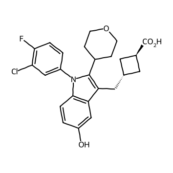 O=C(O)[C@H]1C[C@H](Cc2c(C3CCOCC3)n(-c3ccc(F)c(Cl)c3)c3ccc(O)cc23)C1